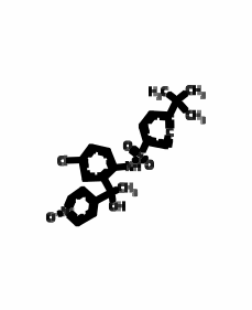 CC(C)(C)c1ccc(S(=O)(=O)Nc2ccc(Cl)cc2C(C)(O)c2cc[n+]([O-])cc2)cc1